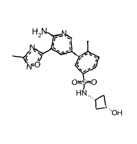 Cc1noc(-c2cc(-c3cc(S(=O)(=O)N[C@H]4C[C@@H](O)C4)ccc3C)cnc2N)n1